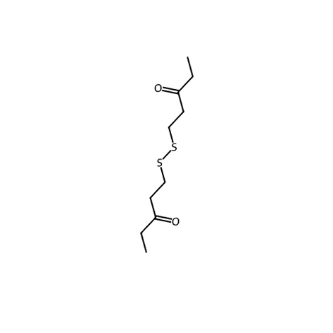 CCC(=O)CCSSCCC(=O)CC